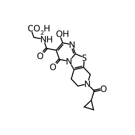 O=C(O)CNC(=O)c1c(O)nc2sc3c(n2c1=O)CCN(C(=O)C1CC1)C3